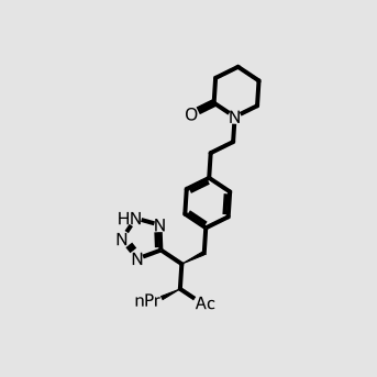 CCC[C@H](C(C)=O)[C@H](Cc1ccc(CCN2CCCCC2=O)cc1)c1nn[nH]n1